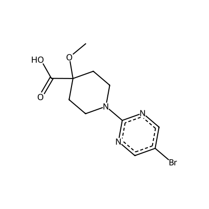 COC1(C(=O)O)CCN(c2ncc(Br)cn2)CC1